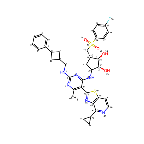 Cc1nc(NCC2CC(c3ccccc3)C2)nc(NC2C[C@H](CS(=O)(=O)c3ccc(F)cc3)[C@@H](O)[C@H]2O)c1-c1nc2c(C3CC3)nccc2s1